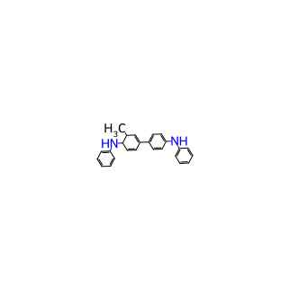 CC1C=C(c2ccc(Nc3ccccc3)cc2)C=CC1Nc1ccccc1